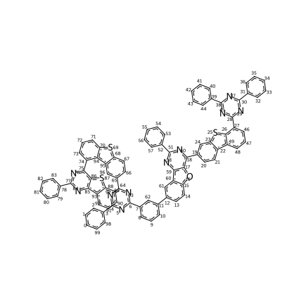 c1ccc(-c2nc(-c3cccc(-c4ccc5oc6c(-c7ccc8c(c7)sc7c(-c9nc(-c%10ccccc%10)nc(-c%10ccccc%10)n9)cccc78)nc(-c7ccccc7)nc6c5c4)c3)nc(-c3ccc4sc5cccc(-c6nc(-c7ccccc7)nc7c6sc6ccccc67)c5c4c3)n2)cc1